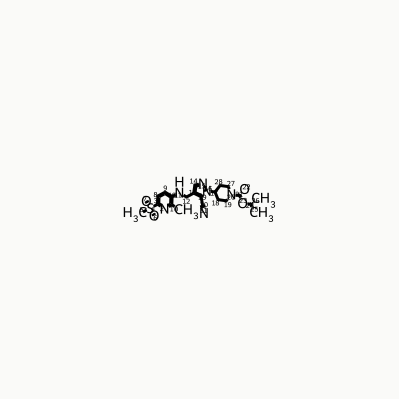 Cc1nc(S(C)(=O)=O)ccc1NCc1cnn(C2CCN(C(=O)OC(C)C)CC2)c1C#N